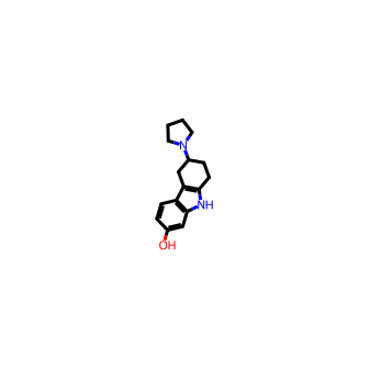 Oc1ccc2c3c([nH]c2c1)CCC(N1CCCC1)C3